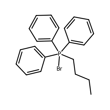 CCCCP(Br)(c1ccccc1)(c1ccccc1)c1ccccc1